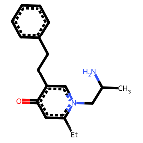 CCc1cc(=O)c(CCc2ccccc2)cn1CC(C)N